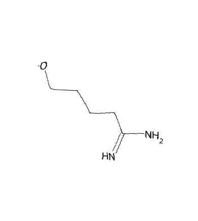 N=C(N)CCCC[O]